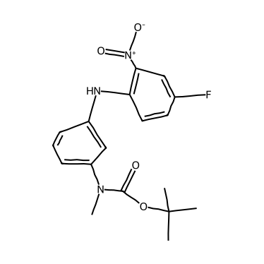 CN(C(=O)OC(C)(C)C)c1cccc(Nc2ccc(F)cc2[N+](=O)[O-])c1